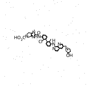 Cc1c(Nc2nccc3cc(CN4CC[C@@H](O)C4)cnc23)cccc1-c1cccc(NC(=O)c2nc3c(n2C)CCN(C(=O)O)C3)c1Cl